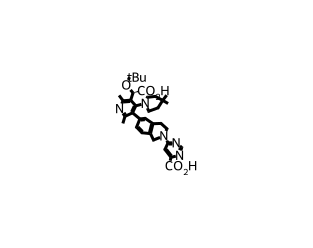 Cc1nc(C)c([C@H](OC(C)(C)C)C(=O)O)c(N2CCC(C)(C)CC2)c1-c1ccc2c(c1)CCN(c1cc(C(=O)O)ncn1)C2